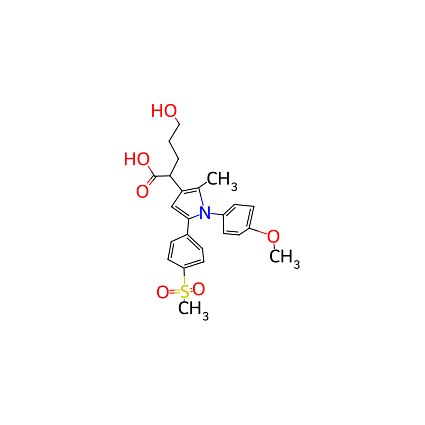 COc1ccc(-n2c(-c3ccc(S(C)(=O)=O)cc3)cc(C(CCCO)C(=O)O)c2C)cc1